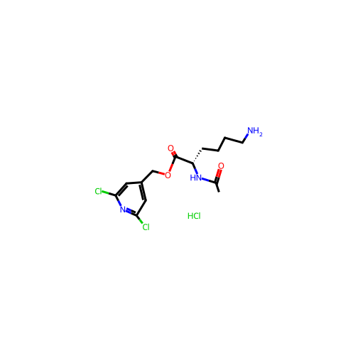 CC(=O)N[C@@H](CCCCN)C(=O)OCc1cc(Cl)nc(Cl)c1.Cl